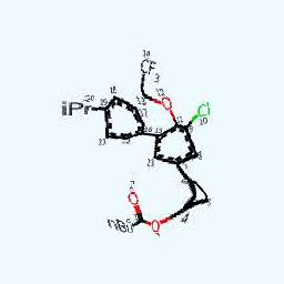 CCCCC(=O)OC1CC1c1cc(Cl)c(OCC(F)(F)F)c(-c2ccc(C(C)C)cc2)c1